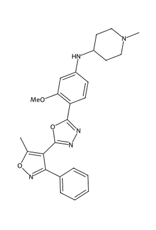 COc1cc(NC2CCN(C)CC2)ccc1-c1nnc(-c2c(-c3ccccc3)noc2C)o1